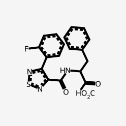 O=C(O)C(=O)C(Cc1ccccc1)NC(=O)c1nsnc1-c1ccccc1F